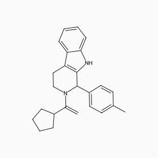 C=C(C1CCCC1)N1CCc2c([nH]c3ccccc23)C1c1ccc(C)cc1